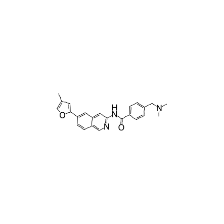 Cc1coc(-c2ccc3cnc(NC(=O)c4ccc(CN(C)C)cc4)cc3c2)c1